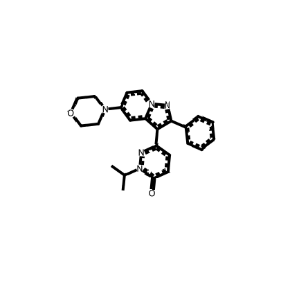 CC(C)n1nc(-c2c(-c3ccccc3)nn3ccc(N4CCOCC4)cc23)ccc1=O